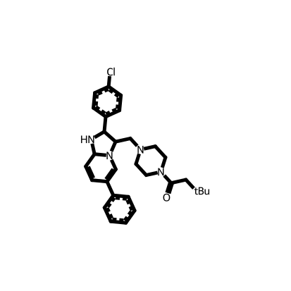 CC(C)(C)CC(=O)N1CCN(CC2C(c3ccc(Cl)cc3)NC3C=CC(c4ccccc4)=CN32)CC1